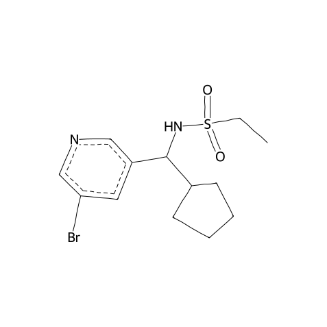 CCS(=O)(=O)NC(c1cncc(Br)c1)C1CCCC1